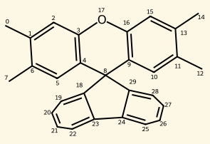 Cc1cc2c(cc1C)C1(c3cc(C)c(C)cc3O2)c2ccccc2-c2ccccc21